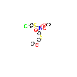 O=C(O/N=C(\CCSc1ccc(Cl)cc1)C(=O)c1ccc(Sc2ccc(C(=O)c3ccccc3)cc2)cc1)Oc1ccccc1